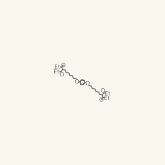 CCC(=O)C(CCCCCCCOc1ccc(OCCCCCCCC(C(=O)CC)C(=O)CC)cc1)C(=O)CC